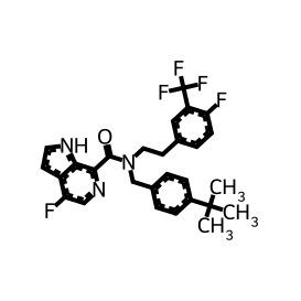 CC(C)(C)c1ccc(CN(CCc2ccc(F)c(C(F)(F)F)c2)C(=O)c2ncc(F)c3cc[nH]c23)cc1